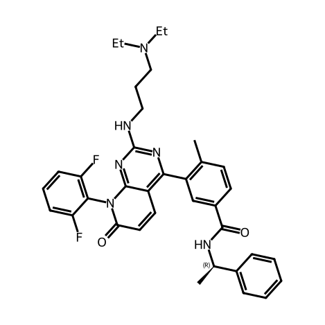 CCN(CC)CCCNc1nc(-c2cc(C(=O)N[C@H](C)c3ccccc3)ccc2C)c2ccc(=O)n(-c3c(F)cccc3F)c2n1